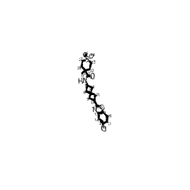 CC1(C(=O)NC2CC3(C2)CC(c2nc4cc(Cl)ccc4o2)C3)CCS(=O)(=O)CC1